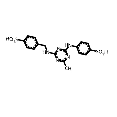 Cc1nc(NCc2ccc(S(=O)(=O)O)cc2)nc(Nc2ccc(S(=O)(=O)O)cc2)n1